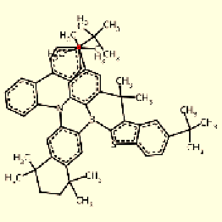 CC(C)(C)c1ccc(-c2ccccc2N2c3cc4c(cc3B3c5sc6ccc(C(C)(C)C)cc6c5C(C)(C)c5cc(C(C)(C)C)cc2c53)C(C)(C)CCC4(C)C)cc1